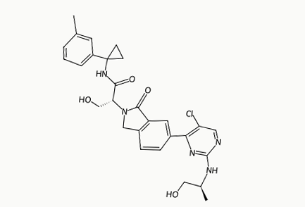 Cc1cccc(C2(NC(=O)[C@@H](CO)N3Cc4ccc(-c5nc(N[C@@H](C)CO)ncc5Cl)cc4C3=O)CC2)c1